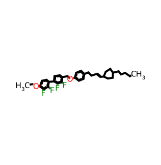 CCCCCC1CCC(/C=C/CCc2ccc(OCc3ccc(-c4ccc(OCC)c(F)c4F)c(F)c3F)cc2)CC1